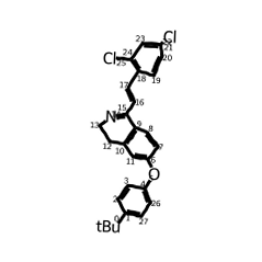 CC(C)(C)c1ccc(Oc2ccc3c(c2)CCN=C3C=Cc2ccc(Cl)cc2Cl)cc1